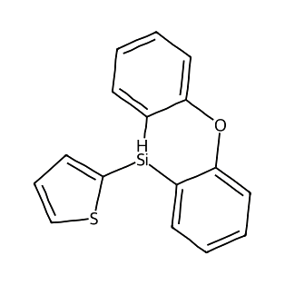 c1csc([SiH]2c3ccccc3Oc3ccccc32)c1